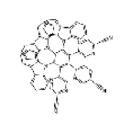 N#Cc1cnc(-c2c(-c3cnc(C#N)cn3)c(-n3c4ccccc4c4ccccc43)c(-n3c4ccccc4c4ccccc43)c(-n3c4ccccc4c4ccccc43)c2-c2cnc(C#N)cn2)cn1